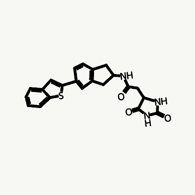 O=C(CC1NC(=O)NC1=O)NC1Cc2ccc(-c3cc4ccccc4s3)cc2C1